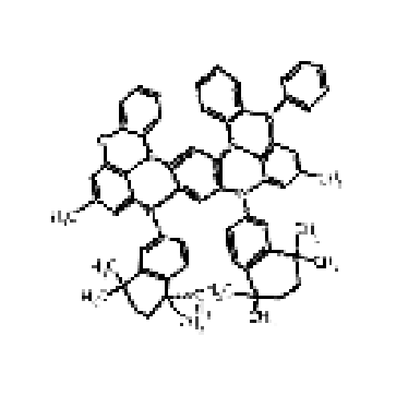 Cc1cc2c3c(c1)N(c1ccc4c(c1)C(C)(C)CCC4(C)C)c1cc4c(cc1B3c1ccccc1O2)B1c2ccccc2N(c2ccccc2)c2cc(C)cc(c21)N4c1ccc2c(c1)C(C)(C)CCC2(C)C